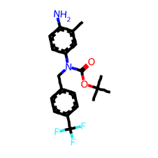 Cc1cc(N(Cc2ccc(C(F)(F)F)cc2)C(=O)OC(C)(C)C)ccc1N